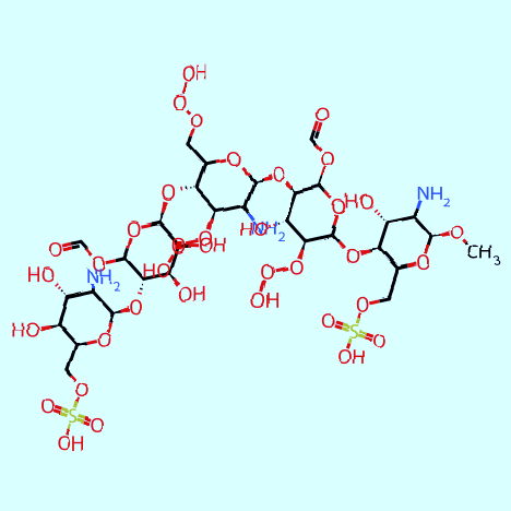 CO[C@H]1OC(COS(=O)(=O)O)[C@@H](OC2OC(OC=O)[C@H](O[C@@H]3OC(COOO)[C@@H](O[C@@H]4OC(OC=O)[C@@H](O[C@H]5OC(COS(=O)(=O)O)[C@@H](O)[C@H](O)C5N)[C@H](O)C4O)[C@H](OOO)C3N)[C@@H](O)[C@@H]2OOO)[C@H](O)C1N